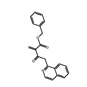 C=C(C(=O)Cc1nccc2ccccc12)C(=O)OCc1ccccc1